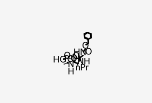 CCC[C@H](NC(=O)CNC(=O)OCc1ccccc1)C(=O)N[C@@H](C)P(=O)(O)O